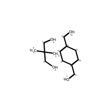 CC(C)(CO)CO.OCC1CCC(CO)CC1